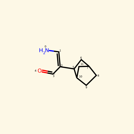 NC=C([C]=O)C1CC2CCC1C2